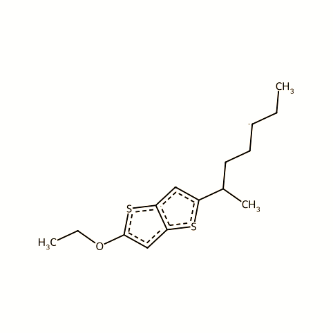 CC[CH]CCC(C)c1cc2sc(OCC)cc2s1